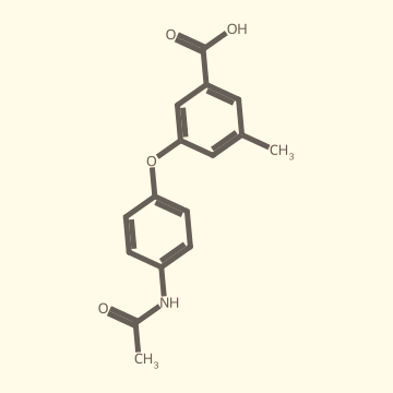 CC(=O)Nc1ccc(Oc2cc(C)cc(C(=O)O)c2)cc1